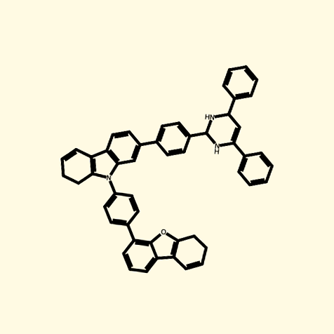 C1=Cc2c(oc3c(-c4ccc(-n5c6c(c7ccc(-c8ccc(C9NC(c%10ccccc%10)=CC(c%10ccccc%10)N9)cc8)cc75)C=CCC6)cc4)cccc23)CC1